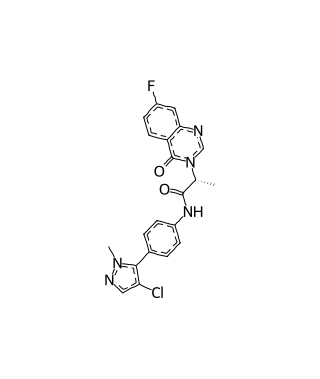 C[C@H](C(=O)Nc1ccc(-c2c(Cl)cnn2C)cc1)n1cnc2cc(F)ccc2c1=O